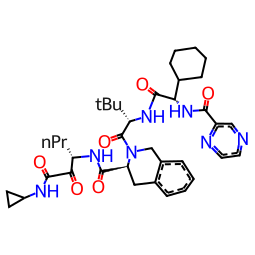 CCC[C@H](NC(=O)[C@@H]1Cc2ccccc2CN1C(=O)[C@@H](NC(=O)[C@@H](NC(=O)c1cnccn1)C1CCCCC1)C(C)(C)C)C(=O)C(=O)NC1CC1